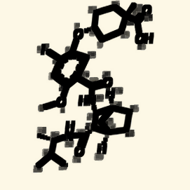 COc1cc(F)c(O[C@H]2CC[C@@](C)(C(=O)O)CC2)cc1C(=O)N[C@@H]1[C@H]2CC[C@H](C2)[C@@H]1C(=O)N[C@@H](C)C(C)C